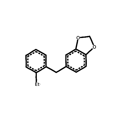 C[CH]c1ccccc1Cc1ccc2c(c1)OCO2